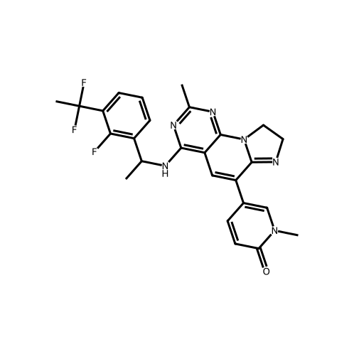 Cc1nc(NC(C)c2cccc(C(C)(F)F)c2F)c2c(n1)N1CCN=C1C(c1ccc(=O)n(C)c1)=C2